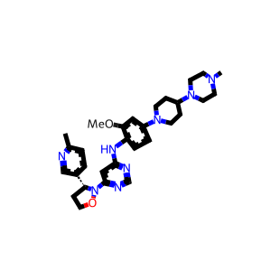 COc1cc(N2CCC(N3CCN(C)CC3)CC2)ccc1Nc1cc(N2OCC[C@@H]2c2ccc(C)nc2)ncn1